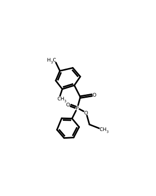 CCOP(=O)(C(=O)c1ccc(C)cc1C)c1ccccc1